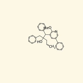 C=CCC(O)(Cc1ccccc1)C(c1ccccc1)c1cc(-c2ccccc2)cnc1OC